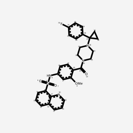 COc1cc(NS(=O)(=O)c2cccc3cccnc23)ccc1C(=O)N1CCN(C2(c3ccc(F)cc3)CC2)CC1